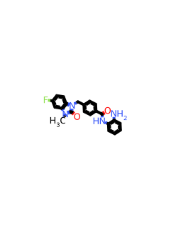 Cn1c(=O)n(Cc2ccc(C(=O)Nc3ccccc3N)cc2)c2ccc(F)cc21